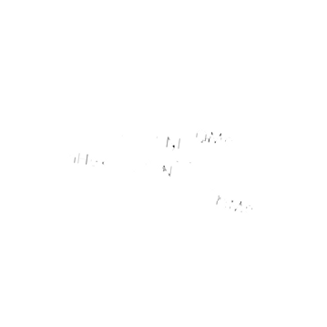 CCCCCCc1ccc2[nH]c(-c3cc(OC)ccc3OC)nc2c1